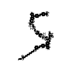 CC#COC(=O)CCCCCCCCCCOc1cccc(/C=C/c2ccc(N3c4ccc(/C=c5/s/c(=C6/SC(=S)N(C)C6=O)n(CC(=O)NC(C)[n+]6ccc(-c7cc[n+](CCNOCCN8C(=O)/C(=C\c9ccc%10c(c9)C9CCCC9N%10c9ccc(/C=C/c%10ccc(C(=O)OC)cc%10)cc9)SC8=S)cc7)cc6)c5=O)cc4C4CCCC43)cc2)c1